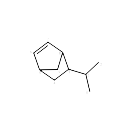 CC(C)[C]1CC2C=CC1C2